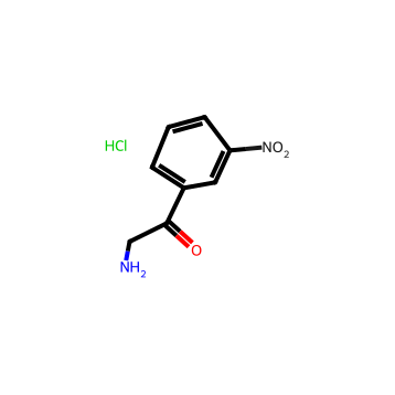 Cl.NCC(=O)c1cccc([N+](=O)[O-])c1